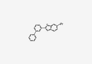 CC(C)c1ccc2cc(-c3cccc(-c4ccccc4)c3)sc2c1